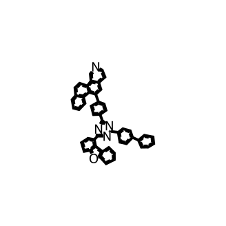 c1ccc(-c2ccc(-c3nc(-c4ccc(-c5cc6ccncc6c6ccc7ccccc7c56)cc4)nc(-c4cccc5oc6ccccc6c45)n3)cc2)cc1